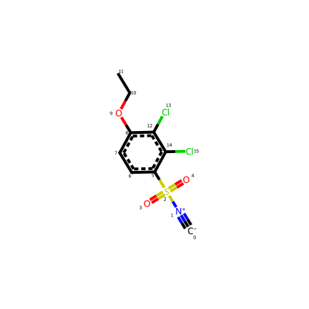 [C-]#[N+]S(=O)(=O)c1ccc(OCC)c(Cl)c1Cl